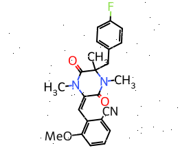 COc1cccc(C#N)c1/C=C1\C(=O)N(C)C(C)(Cc2ccc(F)cc2)C(=O)N1C